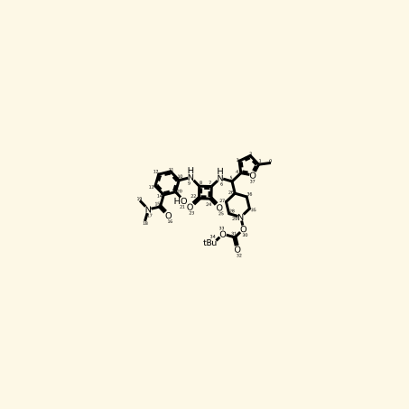 Cc1ccc(C(Nc2c(Nc3cccc(C(=O)N(C)C)c3O)c(=O)c2=O)C2CCN(OC(=O)OC(C)(C)C)CC2)o1